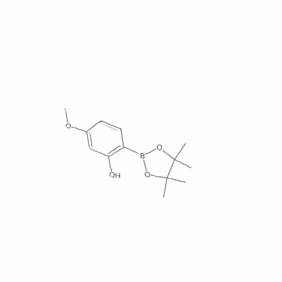 COc1ccc(B2OC(C)(C)C(C)(C)O2)c(O)c1